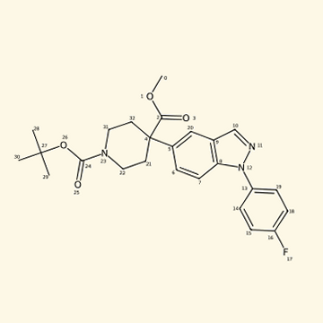 COC(=O)C1(c2ccc3c(cnn3-c3ccc(F)cc3)c2)CCN(C(=O)OC(C)(C)C)CC1